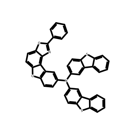 c1ccc(-c2nc3c(ccc4oc5ccc(N(c6ccc7sc8ccccc8c7c6)c6ccc7sc8ccccc8c7c6)cc5c43)o2)cc1